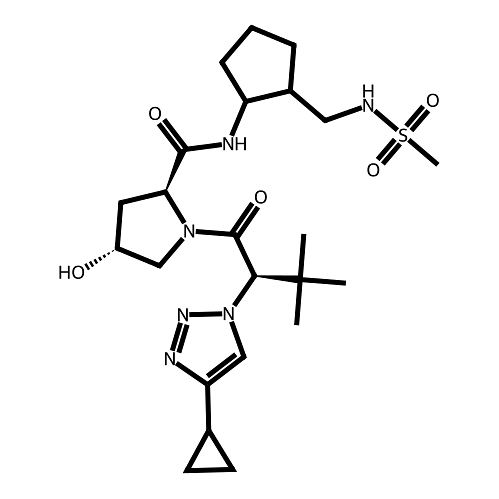 CC(C)(C)[C@H](C(=O)N1C[C@H](O)C[C@H]1C(=O)NC1CCCC1CNS(C)(=O)=O)n1cc(C2CC2)nn1